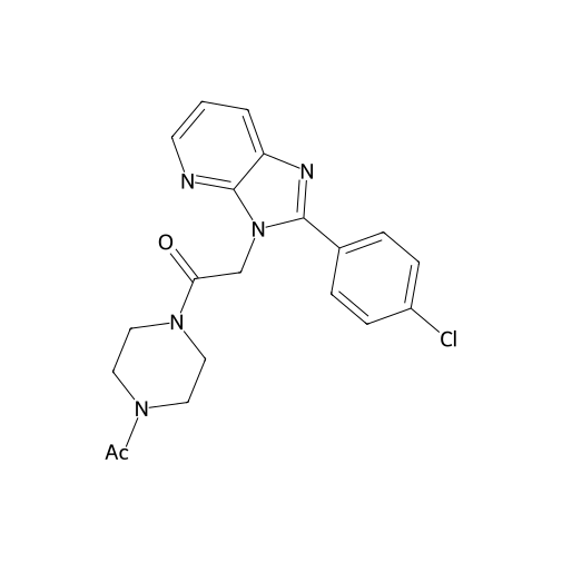 CC(=O)N1CCN(C(=O)Cn2c(-c3ccc(Cl)cc3)nc3cccnc32)CC1